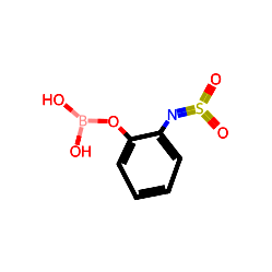 O=S(=O)=Nc1ccccc1OB(O)O